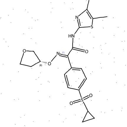 Cc1nc(NC(=O)/C(=N/O[C@@H]2CCOC2)c2ccc(S(=O)(=O)C3CC3)cc2)sc1C